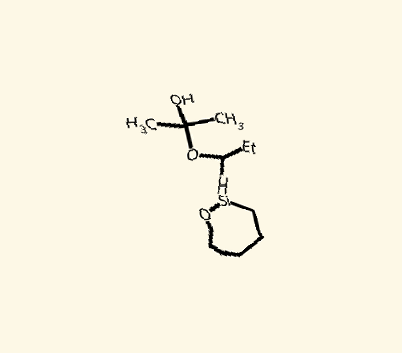 CCC(OC(C)(C)O)[SiH]1CCCCO1